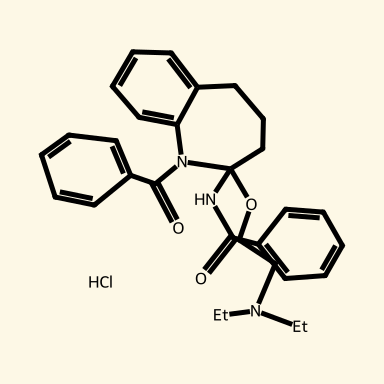 CCN(CC)CCOC1(NC(=O)c2ccccc2)CCCc2ccccc2N1C(=O)c1ccccc1.Cl